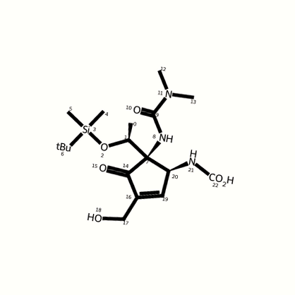 C[C@H](O[Si](C)(C)C(C)(C)C)[C@@]1(NC(=O)N(C)C)C(=O)C(CO)=C[C@@H]1NC(=O)O